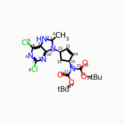 CC1Nc2c(Cl)nc(Cl)nc2N1[C@H]1C=C[C@@H](N(C(=O)OC(C)(C)C)C(=O)OC(C)(C)C)C1